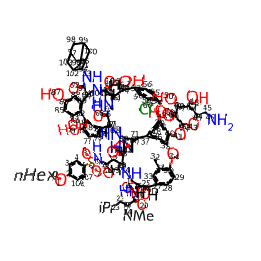 CCCCCCOc1ccc(S(=O)(=O)NC(=O)C[C@@H]2NC(=O)[C@H](NC(=O)[C@@H](CC(C)C)NC)[C@H](O)c3ccc(c(C)c3)Oc3cc4cc(c3O[C@@H]3O[C@H](CN)[C@@H](O)[C@H](O)[C@H]3O)Oc3ccc(cc3Cl)[C@@H](O)[C@@H]3NC(=O)[C@H](NC(=O)[C@@H]4NC2=O)c2ccc(O)c(c2)-c2c(O)cc(O)cc2[C@@H](C(=O)NC2C4CC5CC(C4)CC2C5)NC3=O)cc1